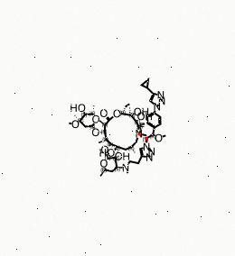 CC[C@H]1OC(=O)[C@H](C)[C@@H](O[C@H]2C[C@@](C)(OC)[C@@H](O)[C@H](C)O2)[C@H](C)[C@@H](O[C@@H]2O[C@H](C)C[C@H](N(C)CCc3cn([C@H](CF)[C@H](OC)c4ccc(-n5cc(C6CC6)nn5)cc4)nn3)[C@H]2O)[C@](C)(O)C[C@@H](C)CN(C)[C@H](C)[C@@H](O)[C@]1(C)O